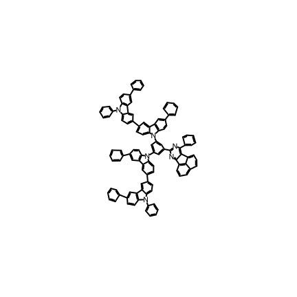 c1ccc(-c2ccc3c(c2)c2cc(-c4ccc5c(c4)c4cc(-c6ccccc6)ccc4n5-c4cc(-c5nc(-c6ccccc6)c6c(n5)-c5cccc7cccc-6c57)cc(-n5c6ccc(-c7ccccc7)cc6c6cc(-c7ccc8c(c7)c7cc(-c9ccccc9)ccc7n8-c7ccccc7)ccc65)c4)ccc2n3-c2ccccc2)cc1